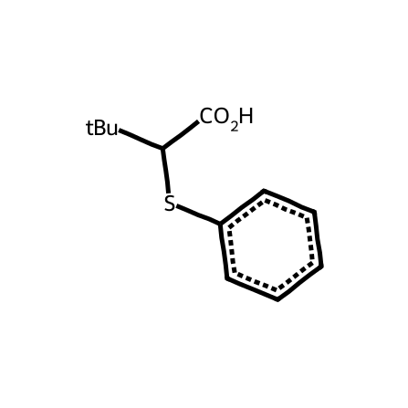 CC(C)(C)C(Sc1ccccc1)C(=O)O